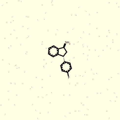 Fc1ccc([C@H]2CC(=[SiH2])c3ccccc32)cc1